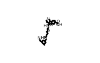 Cc1cc(CC#N)cc(CNCCCCOCCNc2nc3cc(C(=O)O)ccc3c3cnccc23)c1